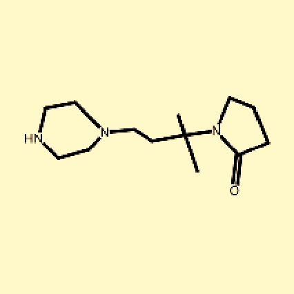 CC(C)(CCN1CCNCC1)N1CCCC1=O